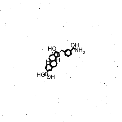 C[C@]12CC[C@@H]3c4ccc(B(O)O)cc4CC[C@H]3[C@@H]1C[C@H](Cc1cccc(C(N)O)c1)[C@@H]2O